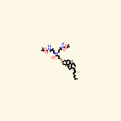 CC(C)CCC[C@@H](C)[C@H]1CC[C@H]2[C@@H]3CC=C4C[C@@H](SSCCC(=O)N(CCC(C)(C)NC(=O)OC(C)(C)C)CCC(C)(C)NC(=O)OC(C)(C)C)CC[C@]4(C)[C@H]3CC[C@]12C